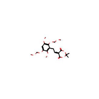 COCOc1cc(OC)c(OCOC)c(CC=C2C(=O)OC(C)(C)OC2=O)c1OC